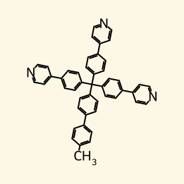 Cc1ccc(-c2ccc(C(c3ccc(-c4ccncc4)cc3)(c3ccc(-c4ccncc4)cc3)c3ccc(-c4ccncc4)cc3)cc2)cc1